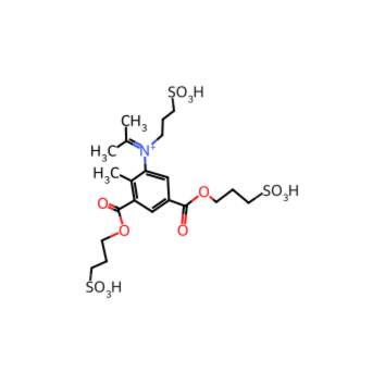 CC(C)=[N+](CCCS(=O)(=O)O)c1cc(C(=O)OCCCS(=O)(=O)O)cc(C(=O)OCCCS(=O)(=O)O)c1C